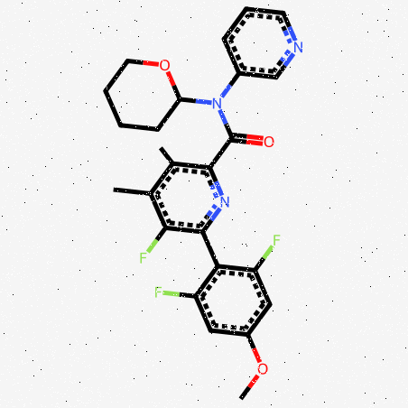 COc1cc(F)c(-c2nc(C(=O)N(c3cccnc3)C3CCCCO3)c(C)c(C)c2F)c(F)c1